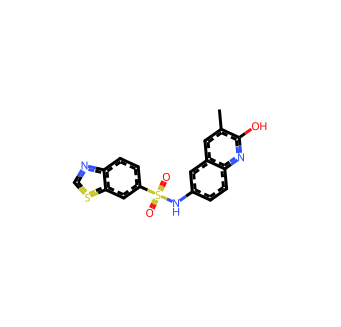 Cc1cc2cc(NS(=O)(=O)c3ccc4ncsc4c3)ccc2nc1O